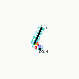 O=C(O)C(F)(F)NS(=O)(=O)C(F)(F)C(F)(F)C(F)(F)C(F)(F)C(F)(F)C(F)(F)C(F)(F)C(F)(F)F